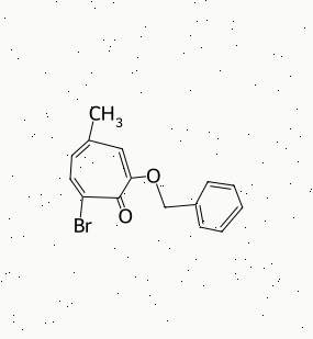 Cc1ccc(Br)c(=O)c(OCc2ccccc2)c1